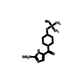 CCOC(=O)c1ncc(C(=O)N2CCC(O[Si](C)(C)C(C)(C)C)CC2)[nH]1